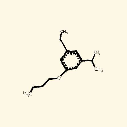 CCCCOc1cc(CC)cc([C](C)C)c1